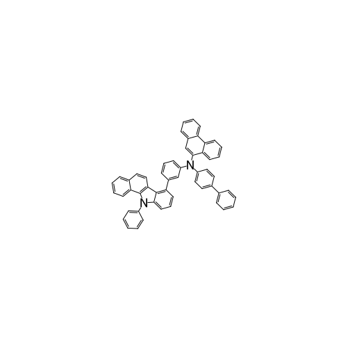 c1ccc(-c2ccc(N(c3cccc(-c4cccc5c4c4ccc6ccccc6c4n5-c4ccccc4)c3)c3cc4ccccc4c4ccccc34)cc2)cc1